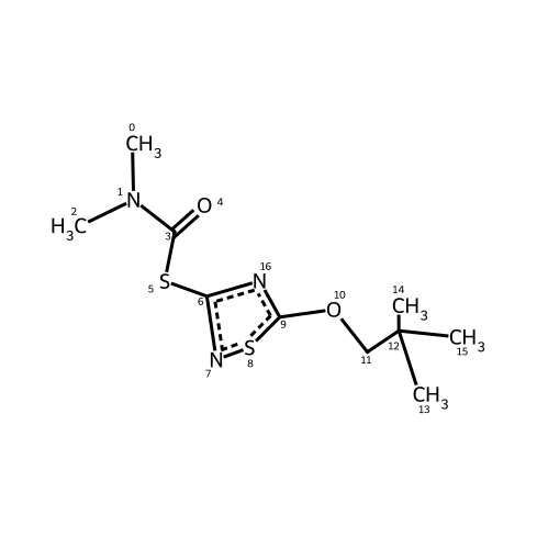 CN(C)C(=O)Sc1nsc(OCC(C)(C)C)n1